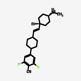 CC[C@]1(C=CC2CCC(c3cc(F)c(C#N)c(F)c3)CC2)CC[C@H]([SiH2]C)CC1